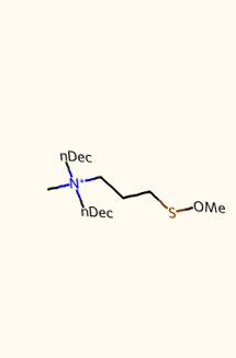 CCCCCCCCCC[N+](C)(CCCCCCCCCC)CCCSOC